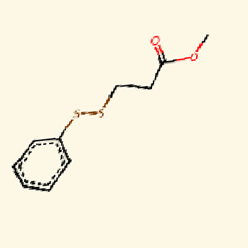 COC(=O)CCSSc1ccccc1